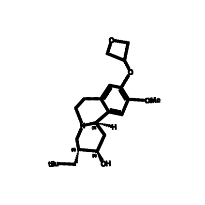 COc1cc2c(cc1OC1COC1)CCN1C[C@@H](CC(C)(C)C)[C@H](O)C[C@H]21